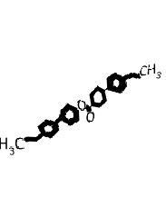 CCCc1ccc(-c2ccc(OC(=O)[C@H]3CC[C@H](c4ccc(CCC)cc4)CC3)cc2)cc1